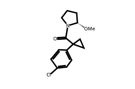 CO[C@H]1CCCN1C(=O)C1(c2ccc(Cl)cc2)CC1